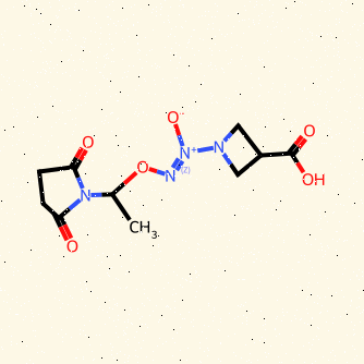 CC(O/N=[N+](\[O-])N1CC(C(=O)O)C1)N1C(=O)CCC1=O